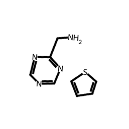 NCc1ncncn1.c1ccsc1